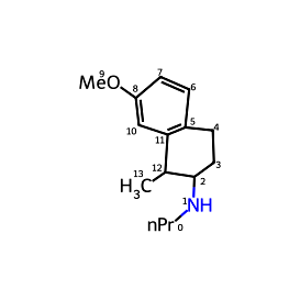 CCCNC1CCc2ccc(OC)cc2C1C